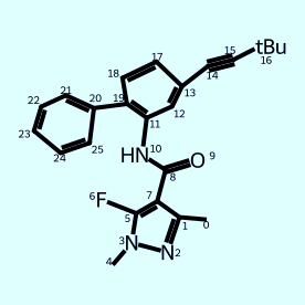 Cc1nn(C)c(F)c1C(=O)Nc1cc(C#CC(C)(C)C)ccc1-c1ccccc1